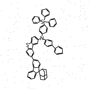 c1ccc(-c2ccc(N(c3ccc([Si](c4ccccc4)(c4ccccc4)c4ccccc4)cc3)c3ccc4sc5ccc(-c6ccc7c(c6)-c6ccccc6C76C7CC8CC(C7)CC6C8)cc5c4c3)cc2)cc1